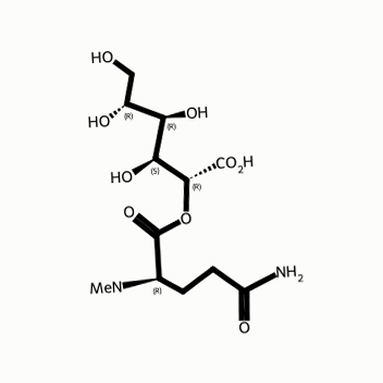 CN[C@H](CCC(N)=O)C(=O)O[C@@H](C(=O)O)[C@@H](O)[C@H](O)[C@H](O)CO